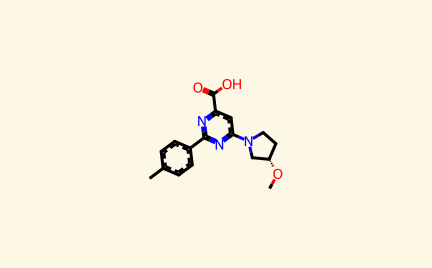 CO[C@H]1CCN(c2cc(C(=O)O)nc(-c3ccc(C)cc3)n2)C1